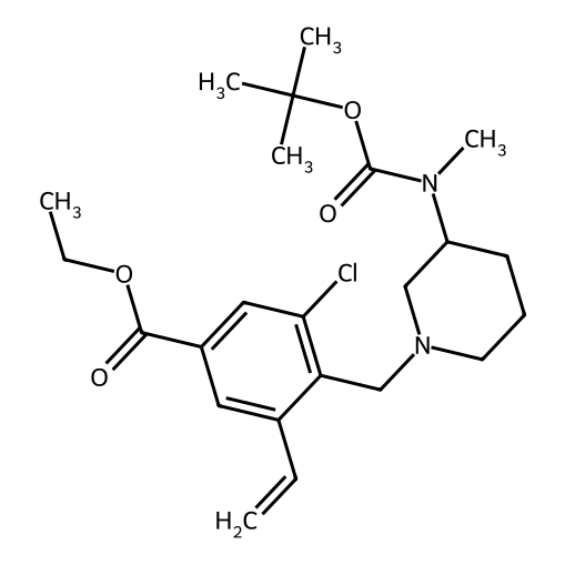 C=Cc1cc(C(=O)OCC)cc(Cl)c1CN1CCCC(N(C)C(=O)OC(C)(C)C)C1